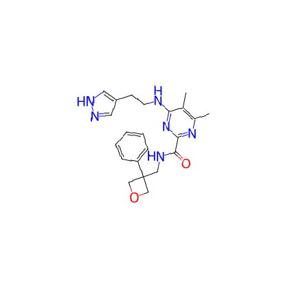 Cc1nc(C(=O)NCC2(c3ccccc3)COC2)nc(NCCc2cn[nH]c2)c1C